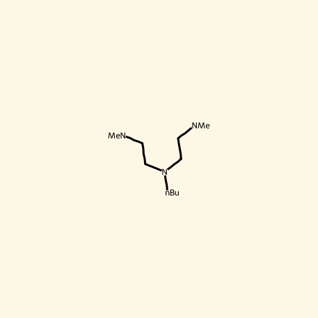 CCCCN(CCNC)CCNC